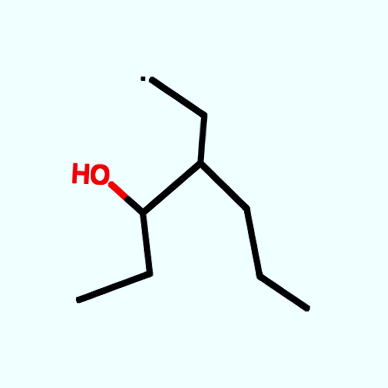 [CH2]CC(CCC)C(O)CC